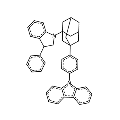 c1ccc(C2CN(C34CC5CC(CC(c6ccc(-n7c8ccccc8c8ccccc87)cc6)(C5)C3)C4)c3ccccc32)cc1